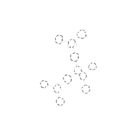 c1ccc(-c2cc(-c3ccccc3)c3nc(-c4ccc(-c5nc(-c6ccccc6)cc(-c6ccccc6)n5)cc4)nc(-c4ccc(-c5nc(-c6ccccc6)cc(-c6ccccc6)n5)cc4)c3c2)cc1